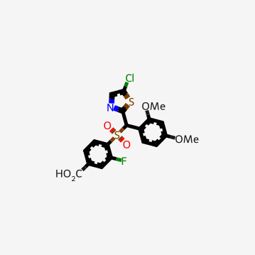 COc1ccc(C(c2ncc(Cl)s2)S(=O)(=O)c2ccc(C(=O)O)cc2F)c(OC)c1